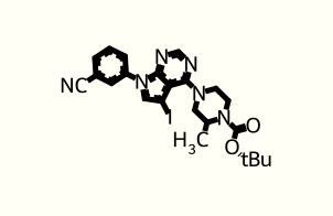 CC1CN(c2ncnc3c2c(I)cn3-c2cccc(C#N)c2)CCN1C(=O)OC(C)(C)C